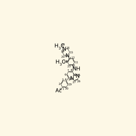 CC(=O)c1ccc(-c2ccc(Nc3ccc(N4CCN(C)CC4)c(C)c3)c3nccn23)cc1